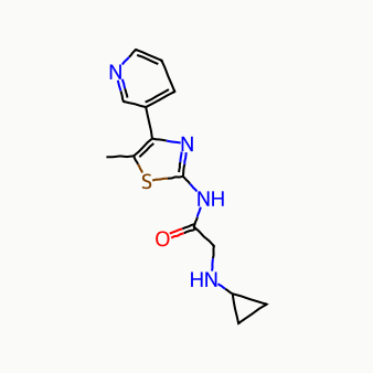 Cc1sc(NC(=O)CNC2CC2)nc1-c1cccnc1